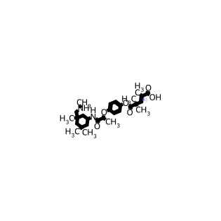 CNCC1(C)CC(NC(=O)C(C)Oc2ccc(OC(=O)C(C)(C)/C=C(\C)C(=O)O)cc2)CC(C)(C)C1